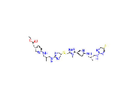 CCOC(=O)Cc1ccc(NCC(C)CNc2ncc(SCc3nnc(-c4ccc(NCC(C)CNc5ncc(SC)cn5)nc4)n3C)cn2)nc1